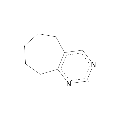 [c]1ncc2c(n1)CCCCC2